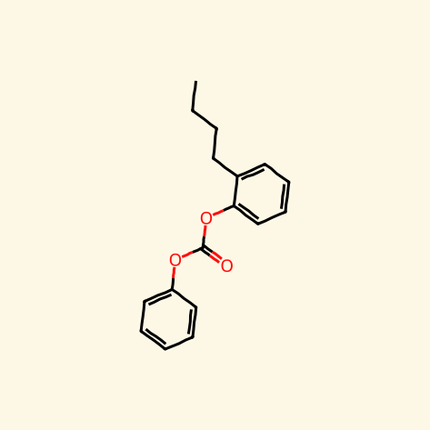 CCCCc1ccccc1OC(=O)Oc1ccccc1